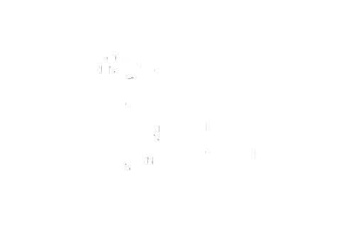 CCCN[C@@H](CS(C)(=O)=O)c1ccc(-c2ccc3ncnc(Nc4ccc(OCc5cccc(F)c5)c(Cl)c4)c3c2)o1